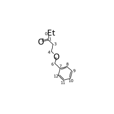 CCC(=O)CCOCc1ccccc1